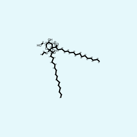 CCCCCCCCCCCCCCCC(=O)C1(OCC)O[C@H](CO)[C@@H](O)[C@H](O)[C@]1(O)C(=O)CCCCCCCCCCCCCCC